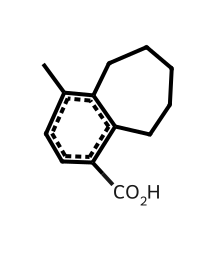 Cc1ccc(C(=O)O)c2c1CCCCC2